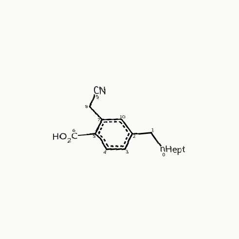 CCCCCCCCc1ccc(C(=O)O)c(CC#N)c1